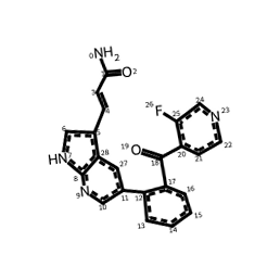 NC(=O)C=Cc1c[nH]c2ncc(-c3ccccc3C(=O)c3ccncc3F)cc12